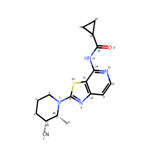 C[C@@H]1[C@H](C#N)CCCN1c1nc2ccnc(NC(=O)C3CC3)c2s1